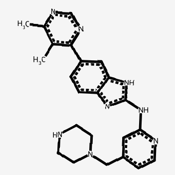 Cc1ncnc(-c2ccc3nc(Nc4cc(CN5CCNCC5)ccn4)[nH]c3c2)c1C